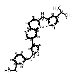 CC(C)c1cnnc(Nc2ccc3ncc(-c4cnn(Cc5cccc(CO)n5)c4)cc3n2)c1